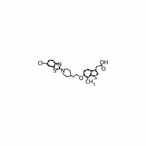 Cc1c(OCCC2CCN(c3nc4ccc(Cl)cc4s3)CC2)ccc2c(CC(=O)O)csc12